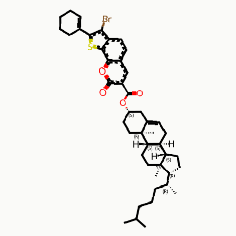 CC(C)CCC[C@@H](C)[C@H]1CC[C@H]2[C@@H]3CC=C4C[C@@H](OC(=O)c5cc6ccc7c(Br)c(C8=CCCCC8)sc7c6oc5=O)CC[C@]4(C)[C@H]3CC[C@]12C